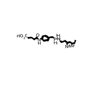 C/C=C\C=C(\CCNPCc1ccc(NC(=O)CCCC(=O)O)cc1)NC